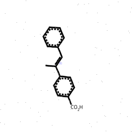 C/C(=C\c1ccccc1)c1ccc(C(=O)O)cc1